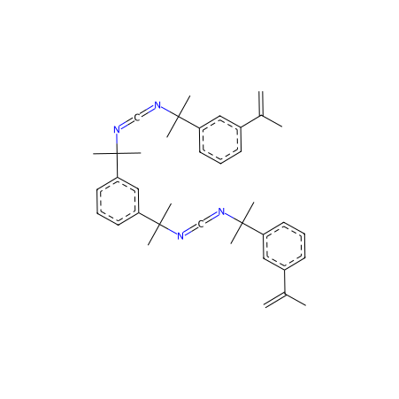 C=C(C)c1cccc(C(C)(C)N=C=NC(C)(C)c2cccc(C(C)(C)N=C=NC(C)(C)c3cccc(C(=C)C)c3)c2)c1